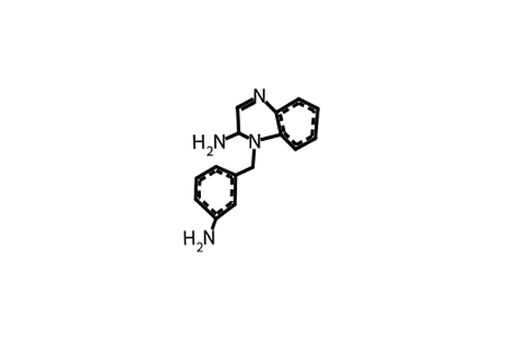 Nc1cccc(CN2c3ccccc3N=CC2N)c1